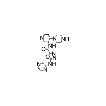 O=C(Nc1cnccc1N1CCNCC1)c1nnc(Nc2cnccn2)o1